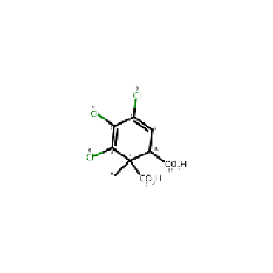 CC1(C(=O)O)C(Cl)=C(Cl)C(Cl)=CC1C(=O)O